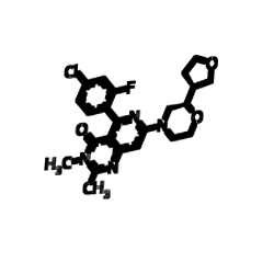 Cc1nc2cc(N3CCO[C@H]([C@H]4CCOC4)C3)nc(-c3ccc(Cl)cc3F)c2c(=O)n1C